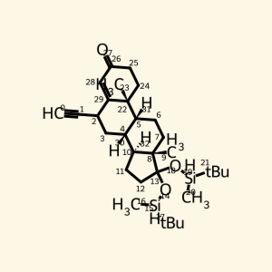 C#CC1C[C@@H]2[C@@H](CC[C@@]3(C)[C@H]2CCC3(O[SiH](C)C(C)(C)C)O[SiH](C)C(C)(C)C)[C@@]2(C)CCC(=O)C=C12